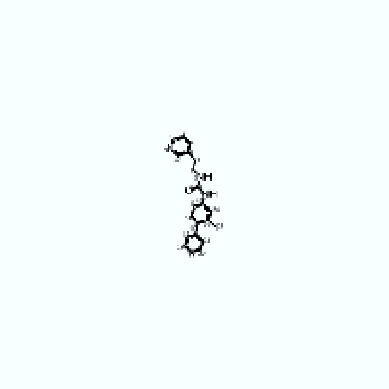 O=C(NCCc1cccnc1)Nc1ccc(-c2ccncc2)c(I)c1